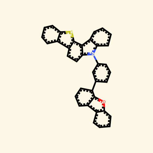 c1cc(-c2cccc3c2oc2ccccc23)cc(-n2c3ccccc3c3c4sc5ccccc5c4ccc32)c1